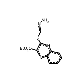 CCOC(=O)c1nc2ccccc2nc1S/C=N/N